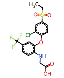 CCS(=O)(=O)c1ccc(Oc2cc(C(F)(F)F)ccc2NCC(=O)O)c(Cl)c1